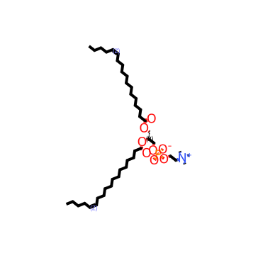 CCCC/C=C\CCCCCCCCCCCC(=O)OC[C@H](COP(=O)([O-])OCC[N+](C)(C)C)OC(=O)CCCCCCCCCCC/C=C\CCCC